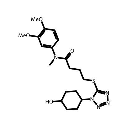 COc1ccc(N(C)C(=O)CCCSc2nnnn2C2CCC(O)CC2)cc1OC